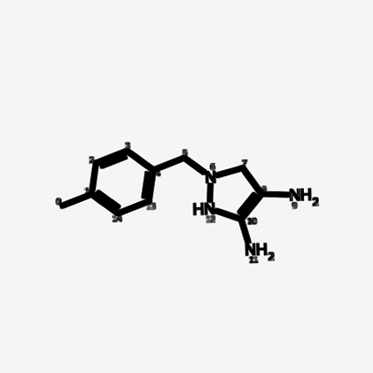 Cc1ccc(CN2CC(N)=C(N)N2)cc1